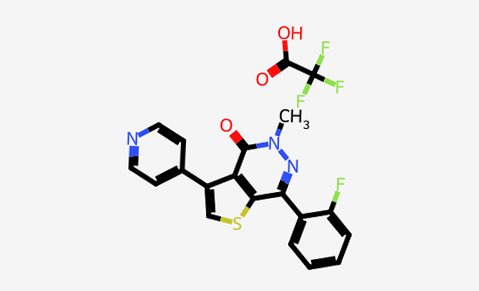 Cn1nc(-c2ccccc2F)c2scc(-c3ccncc3)c2c1=O.O=C(O)C(F)(F)F